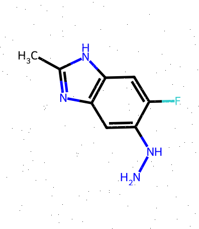 Cc1nc2cc(NN)c(F)cc2[nH]1